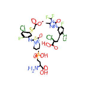 COC(=O)CSc1cc(/N=c2\sc(=O)n3n2CCCC3)c(F)cc1Cl.CP(=O)(O)CCC(N)C(=O)O.Cc1nn(-c2cc(CC(Cl)C(=O)O)c(Cl)cc2F)c(=O)n1C(F)F